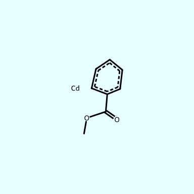 COC(=O)c1ccccc1.[Cd]